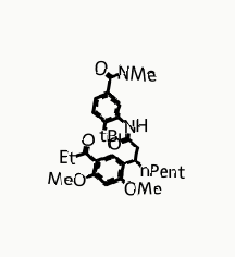 CCCCCC(CC(=O)Nc1cc(C(=O)NC)ccc1C(C)(C)C)c1cc(C(=O)CC)c(OC)cc1OC